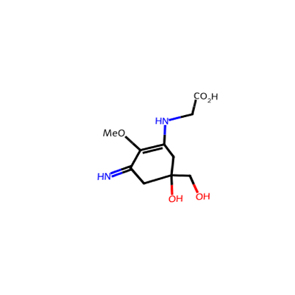 COC1=C(NCC(=O)O)CC(O)(CO)CC1=N